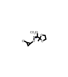 CCOC(=O)/C(=N/OC1CC1Cl)C1(C)OCCO1